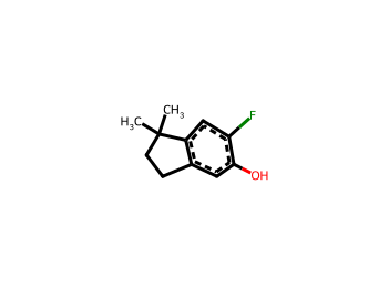 CC1(C)CCc2cc(O)c(F)cc21